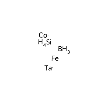 B.[Co].[Fe].[SiH4].[Ta]